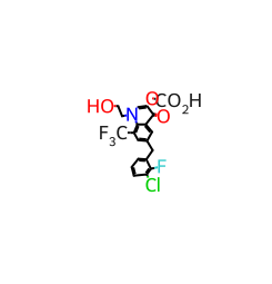 O=C(O)Oc1cn(CCO)c2c(C(F)(F)F)cc(Cc3cccc(Cl)c3F)cc2c1=O